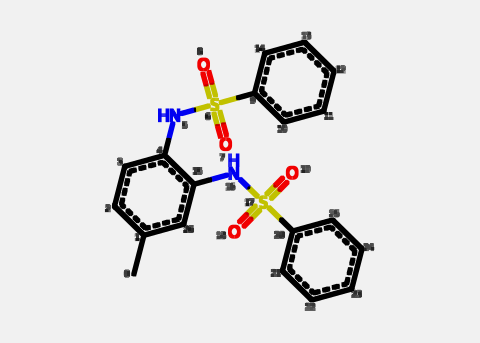 Cc1ccc(NS(=O)(=O)c2ccccc2)c(NS(=O)(=O)c2ccccc2)c1